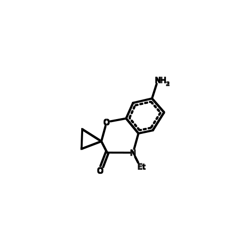 CCN1C(=O)C2(CC2)Oc2cc(N)ccc21